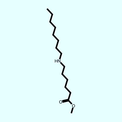 CCCCCCCCNCCCCCC(=O)OC